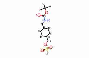 CC(C)(C)OC(=O)NCC1CCC(COS(C)(=O)=O)CC1